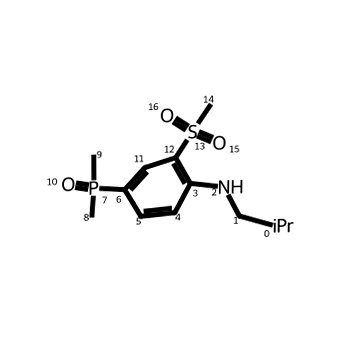 CC(C)CNc1ccc(P(C)(C)=O)cc1S(C)(=O)=O